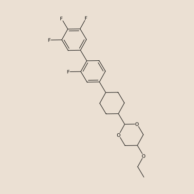 CCOC1COC(C2CCC(c3ccc(-c4cc(F)c(F)c(F)c4)c(F)c3)CC2)OC1